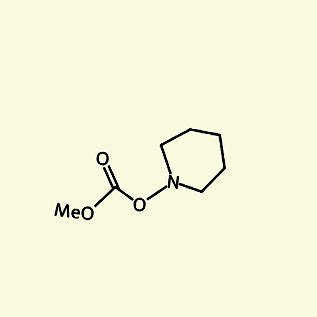 [CH2]OC(=O)ON1CCCCC1